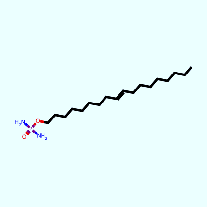 CCCCCCCCC=CCCCCCCCCOP(N)(N)=O